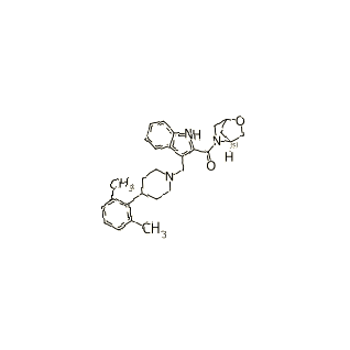 Cc1cccc(C)c1C1CCN(Cc2c(C(=O)N3CC4C[C@H]3CO4)[nH]c3ccccc23)CC1